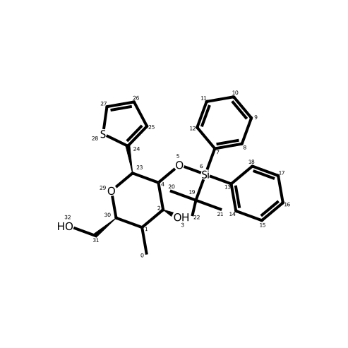 CC1[C@H](O)C(O[Si](c2ccccc2)(c2ccccc2)C(C)(C)C)[C@H](c2cccs2)O[C@@H]1CO